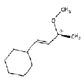 CO[C@@H](C)C=CC1CCCCC1